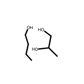 CC(O)CO.CCCCO